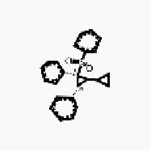 O=S(=O)(c1ccccc1)[C@@]1(c2ccccc2)C(C2CC2)[C@@H]1c1ccccc1